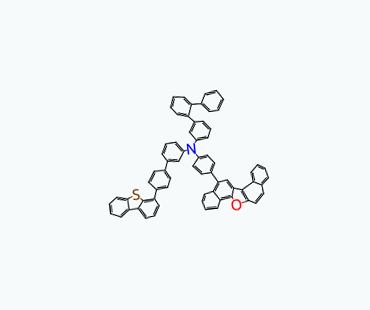 c1ccc(-c2ccccc2-c2cccc(N(c3ccc(-c4cc5c(oc6ccc7ccccc7c65)c5ccccc45)cc3)c3cccc(-c4ccc(-c5cccc6c5sc5ccccc56)cc4)c3)c2)cc1